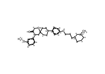 COc1cc(N2CC3(CCN(c4ccc(OCCCN5CCC[C@H](C)C5)cc4)CC3)OCC2=O)ccn1